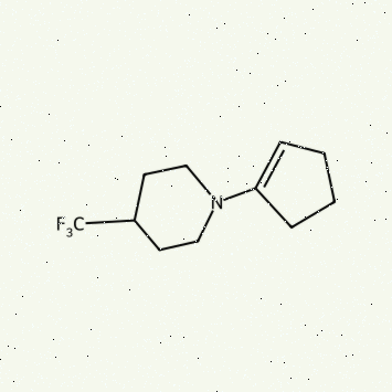 FC(F)(F)C1CCN(C2=CCCC2)CC1